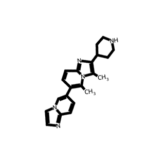 Cc1c(-c2ccc3nccn3c2)ccc2nc(C3CCNCC3)c(C)n12